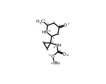 CC1CC(=O)CC(C2(NC(=O)OC(C)(C)C)CC2)N1